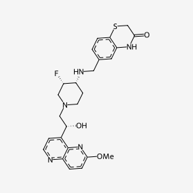 COc1ccc2nccc([C@@H](O)CN3CC[C@@H](NCc4ccc5c(c4)NC(=O)CS5)[C@@H](F)C3)c2n1